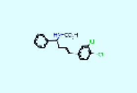 O=C(O)N[C@@H](CC=Cc1ccc(Cl)c(Cl)c1)c1ccccc1